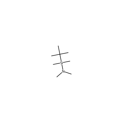 CN(C)[Si](C)(C)C(C)(C)C